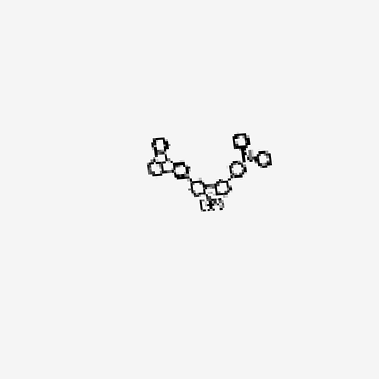 O=S1(=O)c2ccc(-c3ccc(N(c4ccccc4)c4ccccc4)cc3)cc2-c2cc(-c3ccc4c(c3)-c3cccc5c3C4c3ccccc3-5)ccc21